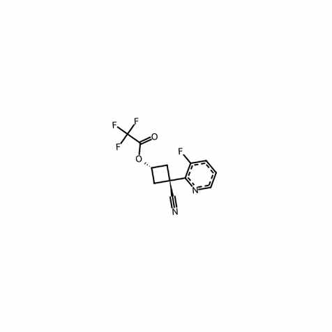 N#C[C@]1(c2ncccc2F)C[C@@H](OC(=O)C(F)(F)F)C1